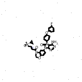 C[N+]([O-])(C/C=C/C(=O)N1CCOc2ccc(-n3c(=O)n(-c4ccc(Oc5cccc(F)c5)cc4)c4c(N)ncnc43)cc21)C1CC1